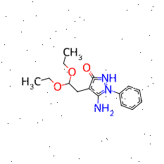 CCOC(Cc1c(N)n(-c2ccccc2)[nH]c1=O)OCC